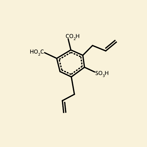 C=CCc1cc(C(=O)O)c(C(=O)O)c(CC=C)c1S(=O)(=O)O